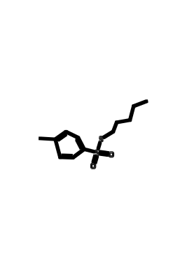 CCCCCSS(=O)(=O)c1ccc(C)cc1